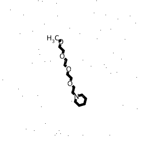 COCCOCCOCCOCCN1CCCCC1